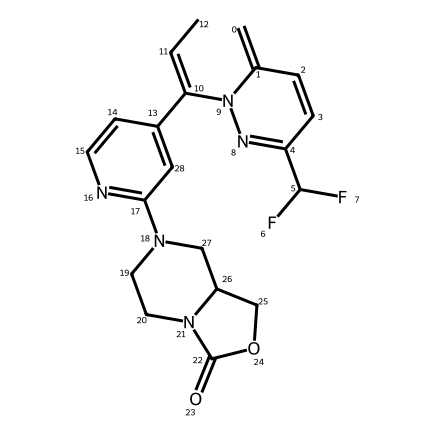 C=C1C=CC(C(F)F)=NN1/C(=C\C)c1ccnc(N2CCN3C(=O)OCC3C2)c1